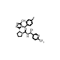 CC[C@H](NC(=O)N1CCC[C@@H]1c1nnc(C)n1Cc1ccc(F)cc1)c1ccc(C(F)(F)F)nc1